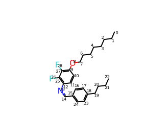 CCCCCCCCOc1ccc(/N=C\c2ccc(CCCC)cc2)c(F)c1F